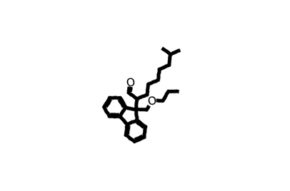 CCCOCC1(C(C=O)CCCCCC(C)C)c2ccccc2-c2ccccc21